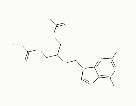 CCCCCCC(=O)OCC(COC(=O)CCCCCC)OCn1cnc2c(OC)nc(N)nc21